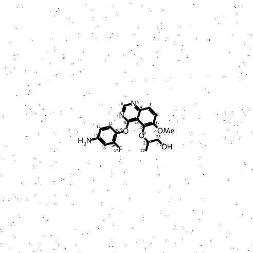 COc1ccc2ncnc(Oc3ccc(N)cc3F)c2c1OC(C)CO